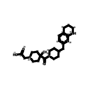 CC1(C(=O)N2CCC(Cc3ccc4c(n3)NCCC4)CC2)CCN(CC(=O)O)CC1